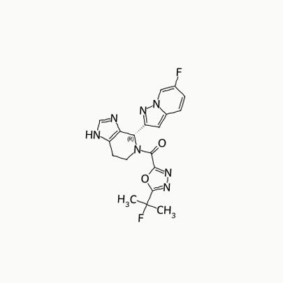 CC(C)(F)c1nnc(C(=O)N2CCc3[nH]cnc3[C@@H]2c2cc3ccc(F)cn3n2)o1